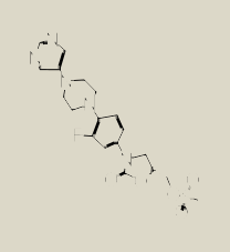 CS(=O)(=O)OC[C@H]1CN(c2ccc(N3CCN(c4cncnc4)CC3)c(F)c2)C(=O)O1